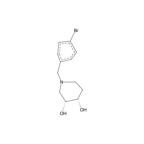 O[C@@H]1CN(Cc2ccc(Br)cc2)CC[C@@H]1O